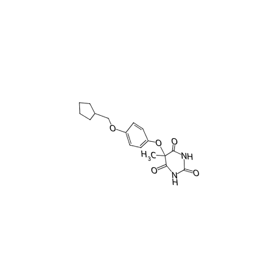 CC1(Oc2ccc(OCC3CCCC3)cc2)C(=O)NC(=O)NC1=O